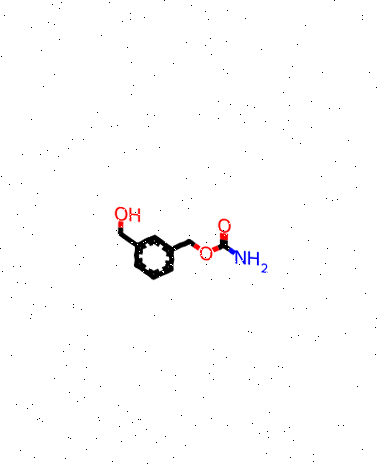 NC(=O)OCc1cccc(CO)c1